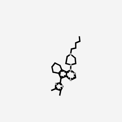 CCCCCN1CCN(n2ncnc3c(-c4nc(C)c(C)s4)c4c(c2-3)CCCC4)CC1